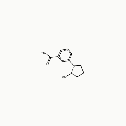 O=C(O)c1cccc(N2CCCC2O)c1